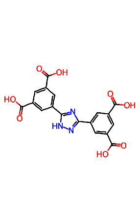 O=C(O)c1cc(C(=O)O)cc(-c2n[nH]c(-c3cc(C(=O)O)cc(C(=O)O)c3)n2)c1